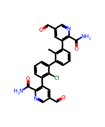 Cc1c(-c2cc(C=O)cnc2C(N)=O)cccc1-c1cccc(-c2cc(C=O)cnc2C(N)=O)c1Cl